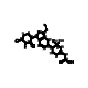 CCn1nc(C2CCC(=O)NC2=O)c2ccc(C3CCN(CC(=O)O)CC3(F)F)cc21